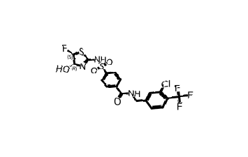 O=C(NCc1ccc(C(F)(F)F)c(Cl)c1)c1ccc(S(=O)(=O)NC2=N[C@H](O)[C@@H](F)S2)cc1